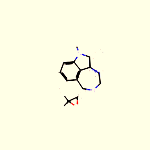 CN1c2cccc3c2[C@@](N)(CCN[C@@H]3C2OC2(C)C)[C@H]1C#N